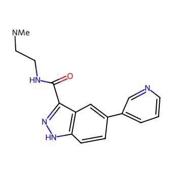 CNCCNC(=O)c1n[nH]c2ccc(-c3cccnc3)cc12